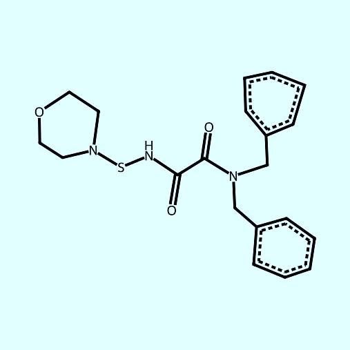 O=C(NSN1CCOCC1)C(=O)N(Cc1ccccc1)Cc1ccccc1